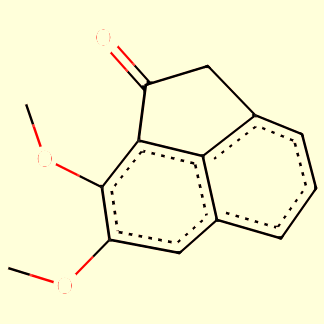 COc1cc2cccc3c2c(c1OC)C(=O)C3